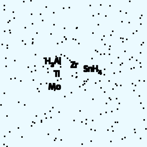 [AlH3].[Mo].[SnH4].[Ti].[Zr]